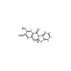 CC(C)c1cc(C(=O)C2NCc3ccccc32)c(O)cc1O